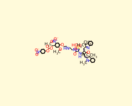 COc1cc(C(C)OC(=O)Oc2ccc([N+](=O)[O-])cc2)c([N+](=O)[O-])cc1OCCNCCNC(=O)C(CS(=O)(=O)O)NC1=C(/C=C2/N(C)c3ccccc3C2(C)C)C(=O)/C1=C\C1=Nc2ccccc2C1(C)C